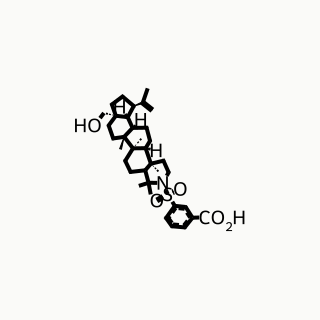 C=C(C)[C@@H]1CC[C@]2(CO)CC[C@]3(C)[C@H](CC[C@@H]4[C@@]5(C)CCN(S(=O)(=O)c6cccc(C(=O)O)c6)C(C)(C)C5CC[C@]43C)[C@@H]12